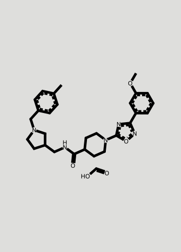 COc1cccc(-c2noc(N3CCC(C(=O)NCC4CCN(Cc5ccc(C)cc5)C4)CC3)n2)c1.O=CO